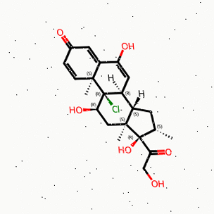 C[C@H]1C[C@H]2[C@@H]3C=C(O)C4=CC(=O)C=C[C@]4(C)[C@@]3(Cl)[C@H](O)C[C@]2(C)[C@@]1(O)C(=O)CO